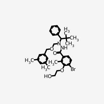 Cc1cc(C)cc(COCN(NC(=O)c2ccc(Br)c(OCCO)c2C)C(c2ccccc2)C(C)(C)C)c1